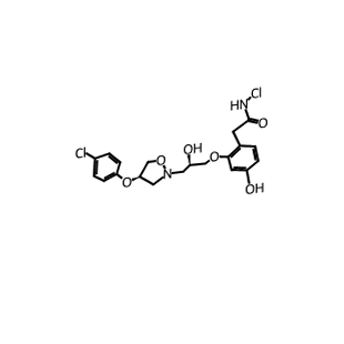 O=C(Cc1ccc(O)cc1OC[C@H](O)CN1C[C@@H](Oc2ccc(Cl)cc2)CO1)NCl